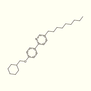 CCCCCCCCCc1ccc(-c2ccc(OCC3CC[CH]CC3)cc2)nc1